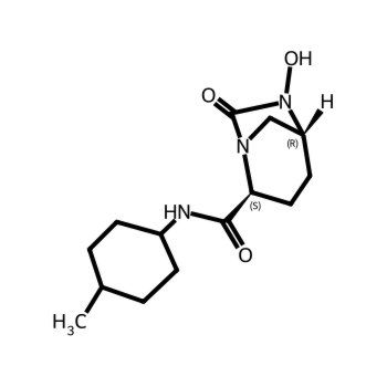 CC1CCC(NC(=O)[C@@H]2CC[C@@H]3CN2C(=O)N3O)CC1